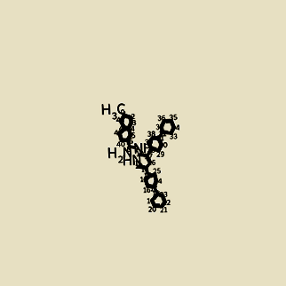 Cc1ccc2cc(C(N)NC3NC=C(c4ccc(-c5ccccc5)cc4)C=C3c3ccc(-c4ccccc4)cc3)ccc2c1